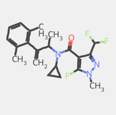 C=C(c1c(C)cccc1C)C(C)N(C(=O)c1c(C(F)F)nn(C)c1F)C1CC1